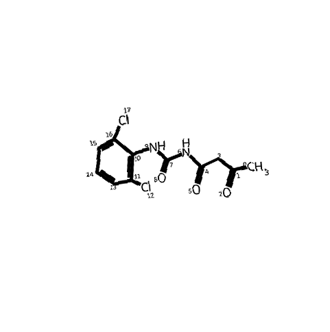 CC(=O)CC(=O)NC(=O)Nc1c(Cl)cccc1Cl